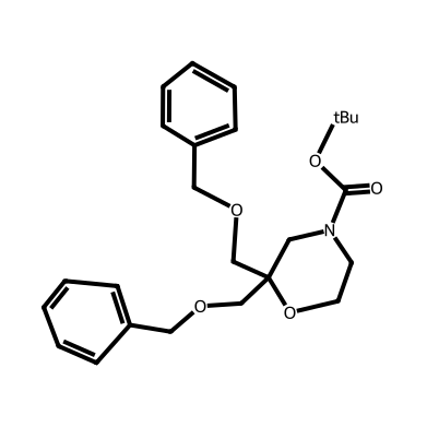 CC(C)(C)OC(=O)N1CCOC(COCc2ccccc2)(COCc2ccccc2)C1